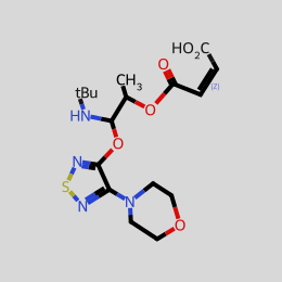 CC(OC(=O)/C=C\C(=O)O)C(NC(C)(C)C)Oc1nsnc1N1CCOCC1